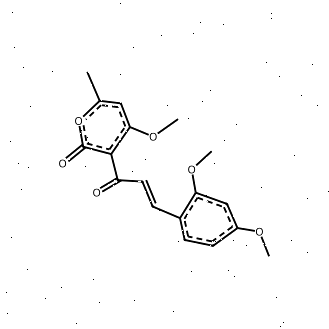 COc1ccc(C=CC(=O)c2c(OC)cc(C)oc2=O)c(OC)c1